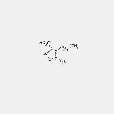 C/C=C/c1c(C(=O)O)noc1C